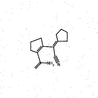 C=C(N)C1=C(C(C#N)=C2CCCC2)CCC1